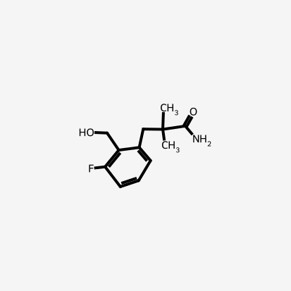 CC(C)(Cc1cccc(F)c1CO)C(N)=O